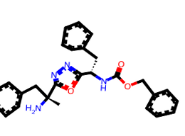 C[C@@](N)(Cc1ccccc1)c1nnc([C@H](Cc2ccccc2)NC(=O)OCc2ccccc2)o1